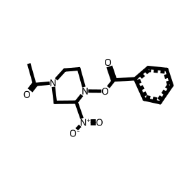 CC(=O)N1CCN(OC(=O)c2ccccc2)C([N+](=O)[O-])C1